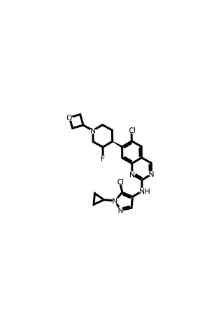 FC1CN(C2COC2)CC[C@H]1c1cc2nc(Nc3cnn(C4CC4)c3Cl)ncc2cc1Cl